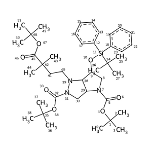 CC(C)(C)OC(=O)N1CC(O[Si](c2ccccc2)(c2ccccc2)C(C)(C)C)C2C1CN(C(=O)OC(C)(C)C)N2CCC(C)(C)C(=O)OC(C)(C)C